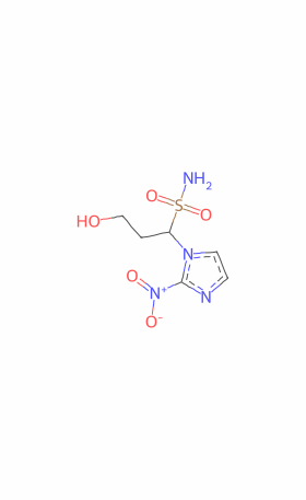 NS(=O)(=O)C(CCO)n1ccnc1[N+](=O)[O-]